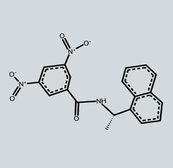 C[C@H](NC(=O)c1cc([N+](=O)[O-])cc([N+](=O)[O-])c1)c1cccc2ccccc12